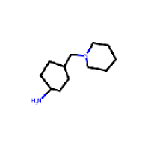 NC1CCC(CN2CCCCC2)CC1